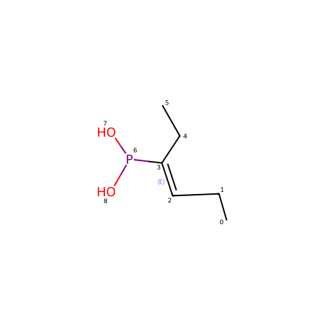 CC/C=C(\CC)P(O)O